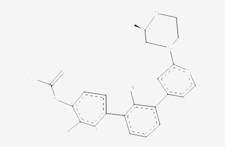 CC(=O)Nc1ccc(-c2cccc(-c3ccnc(N4CCN[C@H](C)C4)c3)c2O)cc1F